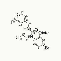 COc1cc(Br)ccc1N(CCCl)C(=O)NCc1cccc(F)c1